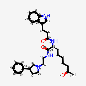 CCC(=O)CCCCC[C@H](NC(=O)CCc1c[nH]c2ccccc12)C(=O)NCCN1CCC(c2ccccc2)C1